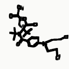 CC(C)(C)N(C(=O)c1ccc(N(CCCl)CCCl)cc1)[C@@](CCC(=O)O)(C(=O)O)C(C)(C)C